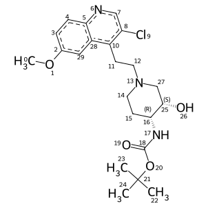 COc1ccc2ncc(Cl)c(CCN3CC[C@@H](NC(=O)OC(C)(C)C)[C@@H](O)C3)c2c1